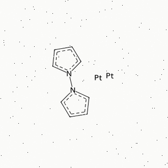 [Pt].[Pt].c1ccn(-n2cccc2)c1